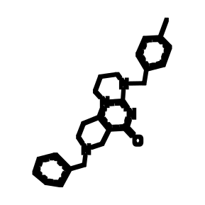 Cc1ccc(CN2CCCn3c2nc(=O)c2c3CCN(Cc3ccccc3)C2)cc1